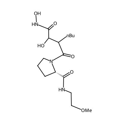 CCCCC(C(=O)N1CCC[C@H]1C(=O)NCCOC)C(O)C(=O)NO